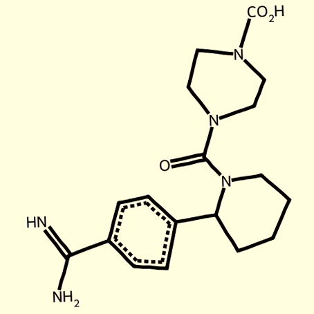 N=C(N)c1ccc(C2CCCCN2C(=O)N2CCN(C(=O)O)CC2)cc1